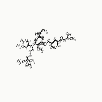 C=CC(CN)N(COCC[Si](C)(C)C)c1nc(NC)nc(OCc2cncc(OC[C@@H](C)O)c2)c1C